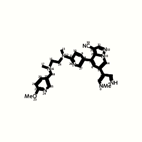 CN/C=C(\C=N)c1cc(-c2ccc(N(C)CCN(C)Cc3ccc(OC)nc3)nc2)c2c(C#N)cnn2c1